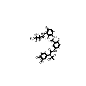 CC(Cl)(Cl)[C@H](C(=O)Nc1ccc(Cl)c(C(=O)Nc2ccc(F)c(NC(=O)C(F)(F)C(F)(F)C(F)(F)F)c2F)c1)c1ccc(Cl)c(Cl)c1